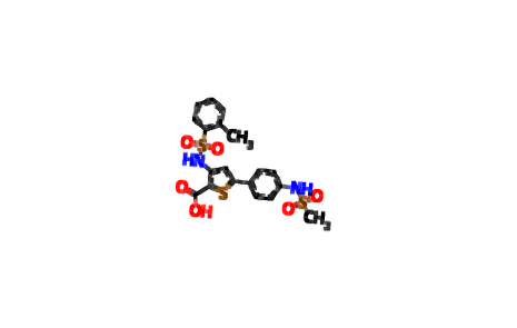 Cc1ccccc1S(=O)(=O)Nc1cc(-c2ccc(NS(C)(=O)=O)cc2)sc1C(=O)O